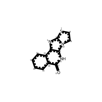 O=c1[nH]c2c(nc3sccn32)c2ccccc12